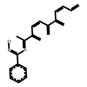 C=C/C=C\C(=C)C(=C)/C=C\C(=C)/C(C)=N/C(=N\CC)c1ccccc1